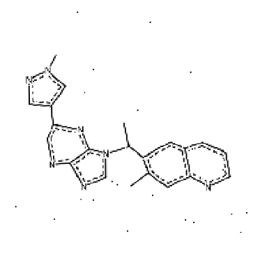 Cc1cc2ncccc2cc1C(C)n1cnc2ncc(-c3cnn(C)c3)nc21